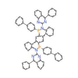 c1ccc(-c2ccc(-p3c4cc5c6ccccc6n(-c6nc(-c7ccccc7)c7ccccc7n6)p(-c6ccc(-c7ccccc7)cc6)c5cc4c4ccccc4n3-c3nc(-c4ccccc4)c4ccccc4n3)cc2)cc1